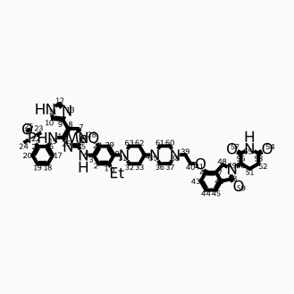 CCc1cc(Nc2ncc(-c3c[nH]cn3)c(Nc3ccccc3P(C)(C)=O)n2)c(OC)cc1N1CCC(N2CCN(CCOc3cccc4c3CN(C3CCC(=O)NC3=O)C4=O)CC2)CC1